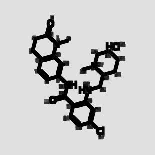 CN1C(=O)CCc2ccc(NC(=O)c3ccc(Cl)cc3NCC3CCCCN3C)cc21.Cl